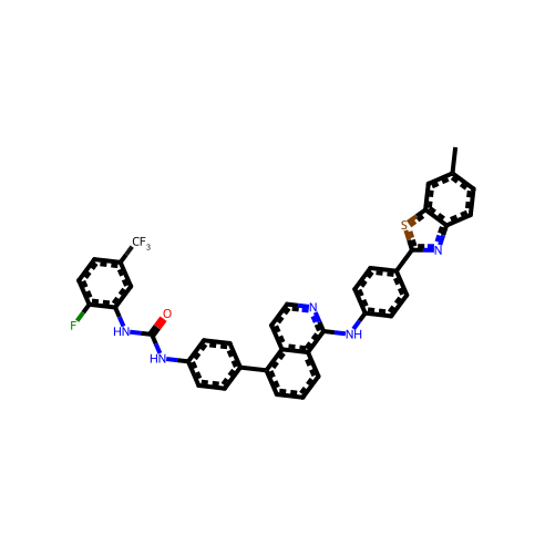 Cc1ccc2nc(-c3ccc(Nc4nccc5c(-c6ccc(NC(=O)Nc7cc(C(F)(F)F)ccc7F)cc6)cccc45)cc3)sc2c1